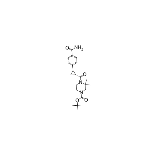 CC(C)(C)OC(=O)N1CCN(C(=O)[C@@H]2C[C@H]2c2ccc(C(N)=O)cc2)C(C)(C)C1